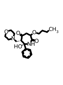 CCCCOC1CC(=O)[C@@H](CN2CCOCC2)[C@](O)(c2ccccc2)NC1=O